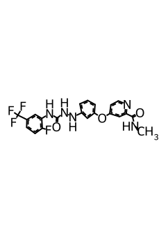 CNC(=O)c1cc(Oc2cccc(NNC(=O)Nc3cc(C(F)(F)F)ccc3F)c2)ccn1